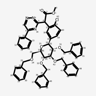 COC(=O)C(c1nncc(-c2ccccc2)n1)c1cc([C@@H]2O[C@H](COCc3ccccc3)[C@@H](OCc3ccccc3)[C@H](OCc3ccccc3)[C@H]2OCc2ccccc2)ccc1Cl